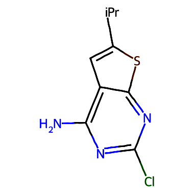 CC(C)c1cc2c(N)nc(Cl)nc2s1